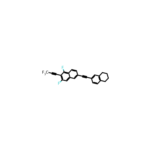 Fc1cc2cc(C#Cc3ccc4c(c3)CCCC4)ccc2c(F)c1C#CC(F)(F)F